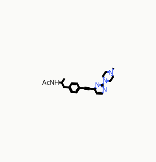 CC(=O)NC(C)Cc1ccc(C#Cc2ccnc(N3CCN(C)CC3)n2)cc1